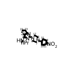 CCCNc1nc(N2CCN(c3ccc([N+](=O)[O-])cc3)CC2)nc2c1SCC2